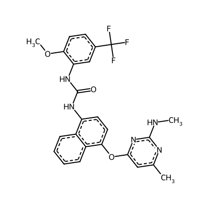 CNc1nc(C)cc(Oc2ccc(NC(=O)Nc3cc(C(F)(F)F)ccc3OC)c3ccccc23)n1